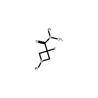 CC(C)N1CC(F)(C(=O)N(C)C(C)C)C1